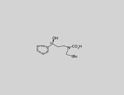 CC(C)(C)CN(CC[C@H](O)c1ccccc1)C(=O)O